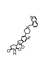 O=C1CCC(N2Cc3cc(C4CCN(Cc5cccc6ccncc56)CC4)c(F)cc3C2=O)C(=O)N1